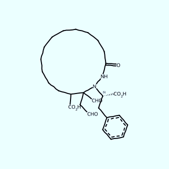 O=CCC1(C=O)C(C(=O)O)CCCCCCCCCCCC(=O)NN1[C@@H](Cc1ccccc1)C(=O)O